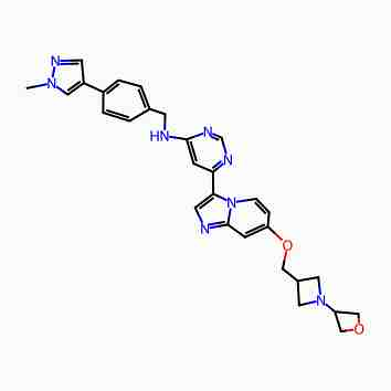 Cn1cc(-c2ccc(CNc3cc(-c4cnc5cc(OCC6CN(C7COC7)C6)ccn45)ncn3)cc2)cn1